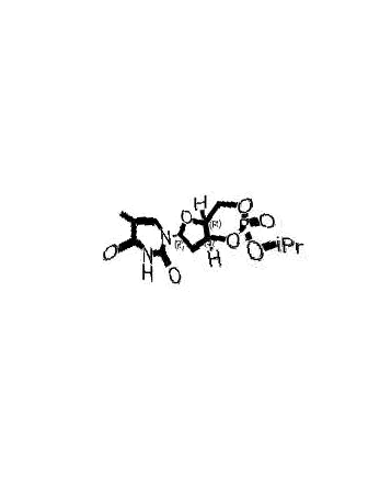 Cc1cn([C@H]2C[C@@H]3OP(=O)(OC(C)C)OC[C@H]3O2)c(=O)[nH]c1=O